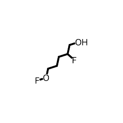 OCC(F)CCCOF